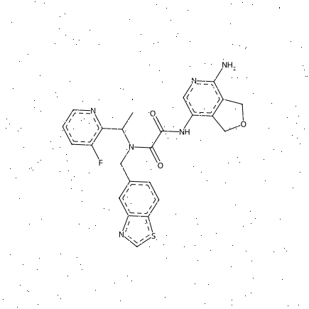 CC(c1ncccc1F)N(Cc1ccc2scnc2c1)C(=O)C(=O)Nc1cnc(N)c2c1COC2